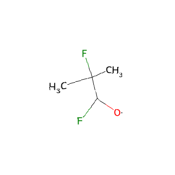 CC(C)(F)C([O])F